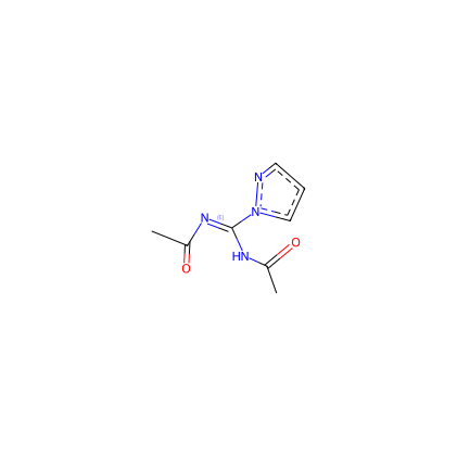 CC(=O)/N=C(\NC(C)=O)n1cccn1